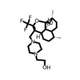 C[C@@H]1CC[C@H]2C(CN3CCN(CCO)CC3)=C(C(F)(F)F)O[C@@H]3O[C@]4(C)CCC1[C@]32OO4